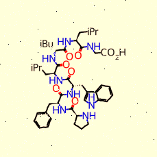 CC[C@H](C)[C@H](NC(=O)[C@H](CC(C)C)NC(=O)[C@H](Cc1c[nH]c2ccccc12)NC(=O)[C@H](Cc1ccccc1)NC(=O)[C@@H]1CCCN1)C(=O)N[C@@H](CC(C)C)C(=O)NCC(=O)O